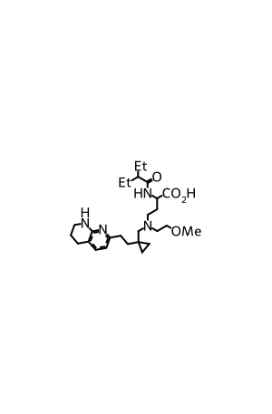 CCC(CC)C(=O)NC(CCN(CCOC)CC1(CCc2ccc3c(n2)NCCC3)CC1)C(=O)O